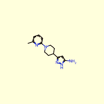 Cc1cccc(N2CCC(c3cc(N)[nH]n3)CC2)n1